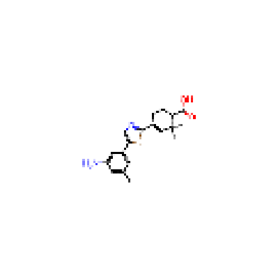 Cc1cc(N)cc(-c2cnc(C3=CC(C)(C)C(C(=O)O)CC3)s2)c1